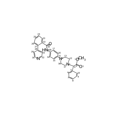 COC(=O)C(c1ccccc1)N1CCN(c2ccc(NC(=O)c3ccccc3-c3ccncc3)cc2)CC1